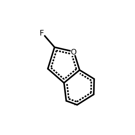 Fc1cc2c[c]ccc2o1